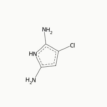 Nc1cc(Cl)c(N)[nH]1